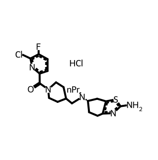 CCCN(CC1CCN(C(=O)c2ccc(F)c(Cl)n2)CC1)[C@H]1CCc2nc(N)sc2C1.Cl